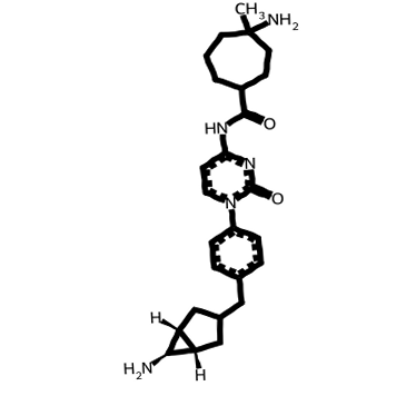 CC1(N)CCCC(C(=O)Nc2ccn(-c3ccc(CC4C[C@@H]5[C@@H](N)[C@@H]5C4)cc3)c(=O)n2)CC1